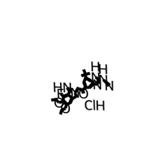 CCOc1cc2c(c(F)c1OCC)C(=N)N(CC(=O)c1cc(C(C)(C)C)c3[nH]c(NC#N)nc3c1)C2.Cl